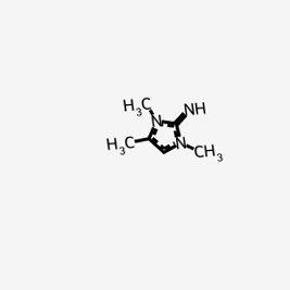 Cc1cn(C)c(=N)n1C